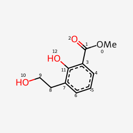 COC(=O)c1c[c]cc(CCO)c1O